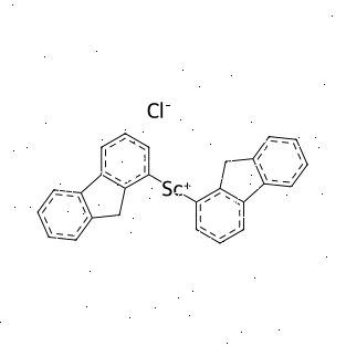 [Cl-].c1ccc2c(c1)Cc1[c]([Sc+][c]3cccc4c3Cc3ccccc3-4)cccc1-2